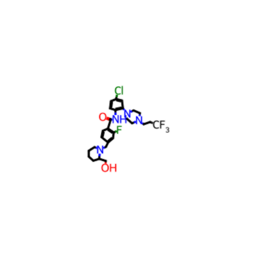 O=C(Nc1ccc(Cl)cc1N1CCN(CCC(F)(F)F)CC1)c1ccc(CN2CCCCC2CO)cc1F